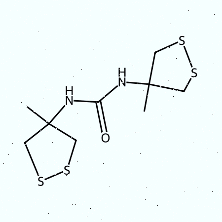 CC1(NC(=O)NC2(C)CSSC2)CSSC1